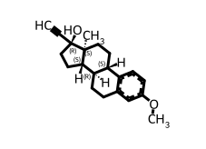 C#C[C@@]1(O)CC[C@H]2[C@@H]3CCc4cc(OC)ccc4[C@H]3CC[C@@]21C